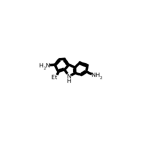 CCc1c(N)ccc2c1[nH]c1cc(N)ccc12